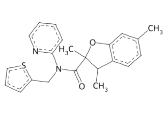 Cc1ccc2c(c1)OC(C)(C(=O)N(Cc1cccs1)c1ccccn1)C2C